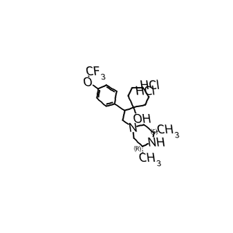 C[C@@H]1CN(CC(c2ccc(OC(F)(F)F)cc2)C2(O)CCCCC2)C[C@H](C)N1.Cl.Cl